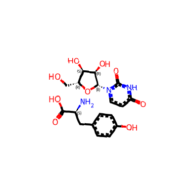 N[C@@H](Cc1ccc(O)cc1)C(=O)O.O=c1ccn([C@@H]2O[C@H](CO)[C@@H](O)[C@H]2O)c(=O)[nH]1